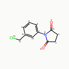 O=C1CCC(=O)N1c1cccc(CCl)c1